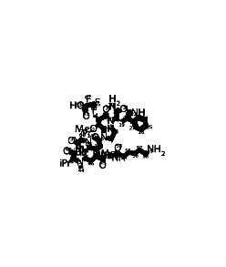 CC[C@H](C)[C@@H]([C@@H](CC(=O)N1CCC[C@H]1[C@H](OC)[C@@H](C)C(=O)N[C@@H](Cc1c[nH]c2ccccc12)C(N)=O)OC)N(C)[C@H](C(=O)NC(=O)[C@H](C(C)C)N(C)CCCC(=O)NNC(=O)CCCCCN)C(C)C.O=C(O)C(F)(F)F